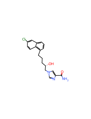 NC(=O)c1cn(C[C@@H](O)CCCc2cccc3cc(Cl)ccc23)cn1